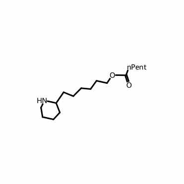 CCCCCC(=O)OCCCCCCC1CCCCN1